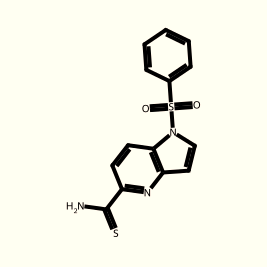 NC(=S)c1ccc2c(ccn2S(=O)(=O)c2ccccc2)n1